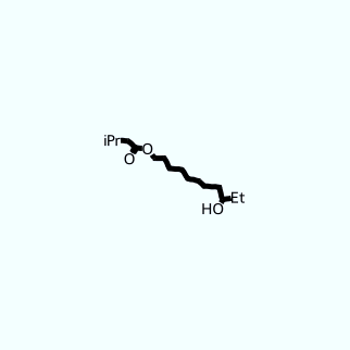 CCC(O)CCCCCCCCOC(=O)CC(C)C